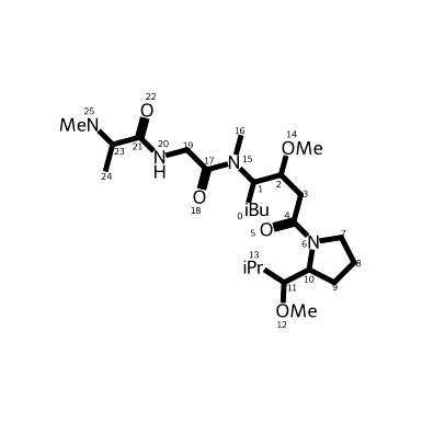 CCC(C)C(C(CC(=O)N1CCCC1C(OC)C(C)C)OC)N(C)C(=O)CNC(=O)C(C)NC